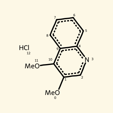 COc1cnc2ccccc2c1OC.Cl